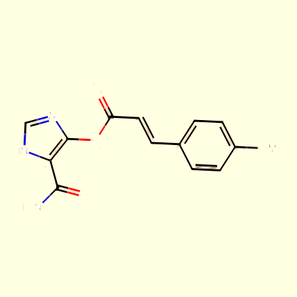 COc1ccc(C=CC(=O)Oc2nc[nH]c2C(N)=O)cc1